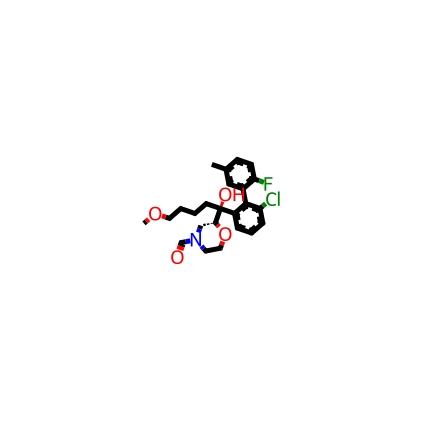 COCCCC[C@](O)(c1cccc(Cl)c1-c1cc(C)ccc1F)[C@H]1CN(C=O)CCO1